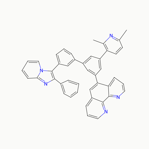 Cc1ccc(-c2cc(-c3cccc(-c4c(-c5ccccc5)nc5ccccn45)c3)cc(-c3cc4cccnc4c4ncccc34)c2)c(C)n1